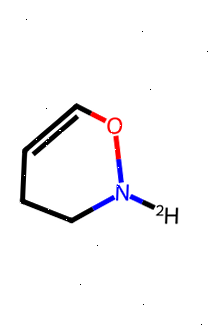 [2H]N1CCC=CO1